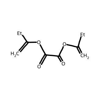 C=C(CC)OC(=O)C(=O)OC(=C)CC